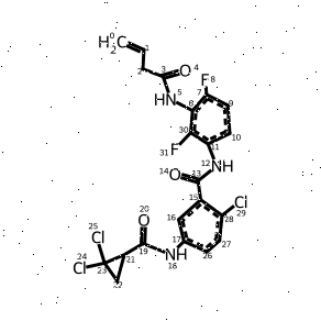 C=CCC(=O)Nc1c(F)ccc(NC(=O)c2cc(NC(=O)C3CC3(Cl)Cl)ccc2Cl)c1F